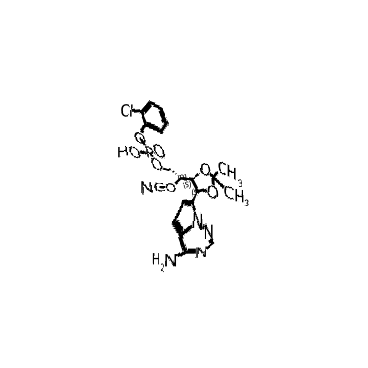 CC1(C)O[C@H]([C@@H](COP(=O)(O)Oc2ccccc2Cl)OC#N)[C@H](c2ccc3c(N)ncnn23)O1